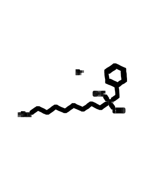 CCCCCCCCCCCCCCCCCC[N+](C=O)(C=O)Cc1ccccc1.[Br-]